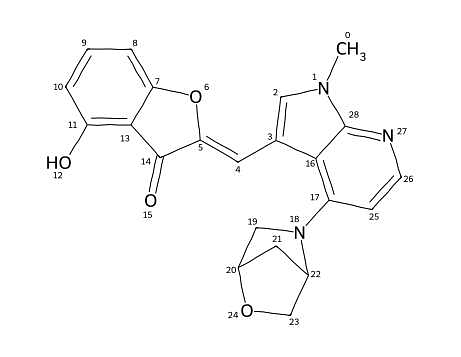 Cn1cc(C=C2Oc3cccc(O)c3C2=O)c2c(N3CC4CC3CO4)ccnc21